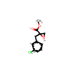 COC(=O)C1(Cc2cccc(Cl)c2)CO1